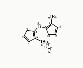 CC(C)(C)C1=[C]([Ti][C]2=C(C(C)(C)C)C=CC2)CC=C1.[H-].[H-]